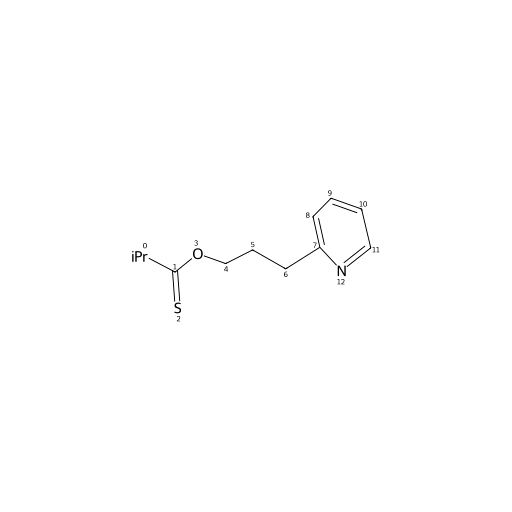 CC(C)C(=S)OCCCc1ccccn1